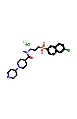 CN(CCCS(=O)(=O)c1ccc2cc(Br)ccc2c1)C(=O)C1CCN(C2CCNCC2)CC1.Cl.Cl